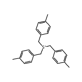 Cc1ccc(C[S+](Cc2ccc(C)cc2)Cc2ccc(C)cc2)cc1